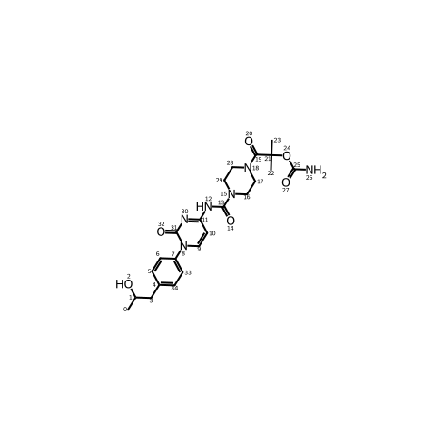 CC(O)Cc1ccc(-n2ccc(NC(=O)N3CCN(C(=O)C(C)(C)OC(N)=O)CC3)nc2=O)cc1